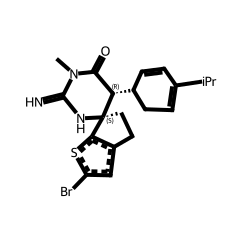 CC(C)C1=CCC([C@H]2C(=O)N(C)C(=N)N[C@@]23CCc2cc(Br)sc23)C=C1